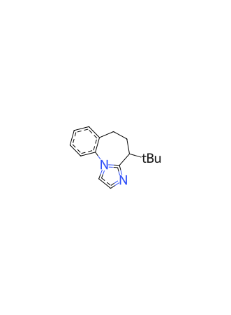 CC(C)(C)C1CCc2ccccc2-n2ccnc21